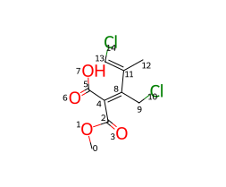 COC(=O)C(C(=O)O)=C(CCl)C(C)=CCl